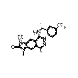 CCn1c(=O)n(C)c2cc3c(C)nnc(N[C@H](C)c4cccc(C(F)(F)F)c4)c3cc21